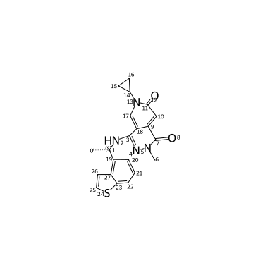 C[C@H](Nc1nn(C)c(=O)c2cc(=O)n(C3CC3)cc12)c1cccc2sccc12